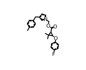 Cc1ccc(Cc2ccn(COC(=O)C3C(Oc4ccc(F)cc4)C3(C)C)c2)cc1